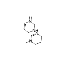 C1=CNCNC1.CN1C=NCCC1